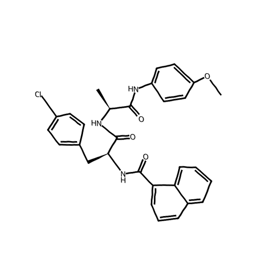 COc1ccc(NC(=O)[C@H](C)NC(=O)[C@H](Cc2ccc(Cl)cc2)NC(=O)c2cccc3ccccc23)cc1